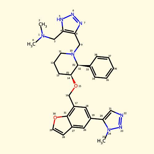 CN(C)Cc1[nH]nnc1CN1CCC[C@H](OCc2cc(-c3cnnn3C)cc3ccoc23)[C@@H]1c1ccccc1